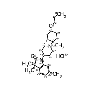 CCCO[C@H]1CC[C@](C)(N2CCC(N3C(=O)C(C)(C)c4ccc(C)cc43)CC2)CC1.Cl